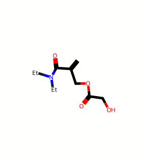 C=C(COC(=O)CO)C(=O)N(CC)CC